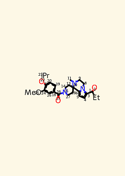 CCC(=O)c1ccc2n1CCN(C)C21CCN(C(=O)c2ccc(OC(C)C)c(OC)c2)CC1